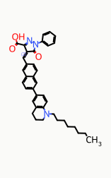 CCCCCCCCN1CCCc2cc(-c3ccc4cc(/C=C5\C(=O)N(c6ccccc6)N=C5C(=O)O)ccc4c3)ccc21